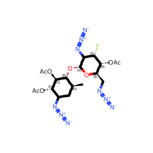 CC(=O)O[C@@H]1[C@@H](CN=[N+]=[N-])O[C@H](O[C@H]2[C@H](OC(C)=O)[C@@H](OC(C)=O)C(N=[N+]=[N-])C[C@@H]2C)C(N=[N+]=[N-])[C@@H]1F